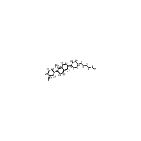 CCCCCCC1CCC(c2ccc3c(F)c(-c4cccc(F)c4)ccc3c2)CC1